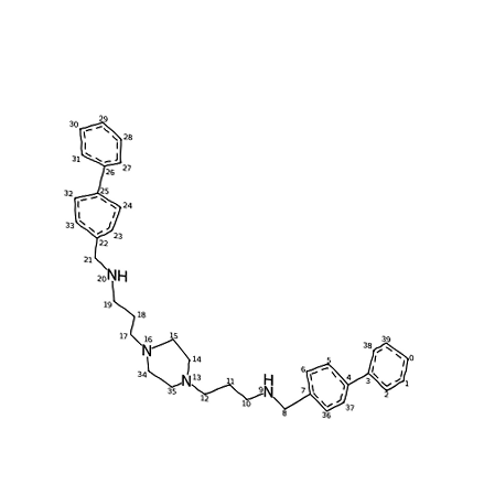 c1ccc(-c2ccc(CNCCCN3CCN(CCCNCc4ccc(-c5ccccc5)cc4)CC3)cc2)cc1